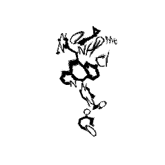 COC1(C(=O)N[C@H](C2=Cc3cccnc3[C@@H](N3CCN(C(=O)OC4CCOCC4)CC3)c3ccc(Cl)cc32)c2cncn2C)CC1